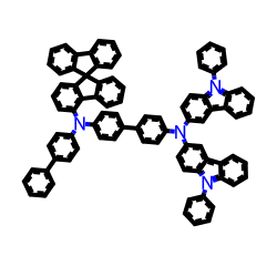 c1ccc(-c2ccc(N(c3ccc(-c4ccc(N(c5ccc6c(c5)c5ccccc5n6-c5ccccc5)c5ccc6c(c5)c5ccccc5n6-c5ccccc5)cc4)cc3)c3cccc4c3-c3ccccc3C43c4ccccc4-c4ccccc43)cc2)cc1